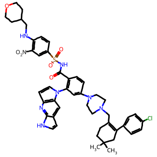 CC1(C)CCC(CN2CCN(c3ccc(C(=O)NS(=O)(=O)c4ccc(NCC5CCOCC5)c([N+](=O)[O-])c4)c(-n4ccc5nc6[nH]ccc6cc54)c3)CC2)=C(c2ccc(Cl)cc2)C1